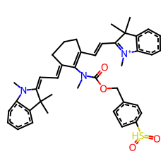 CN(C(=O)OCc1ccc([SH](=O)=O)cc1)C1=C(/C=C/C2=[N+](C)c3ccccc3C2(C)C)CCC/C1=C\C=C1\N(C)c2ccccc2C1(C)C